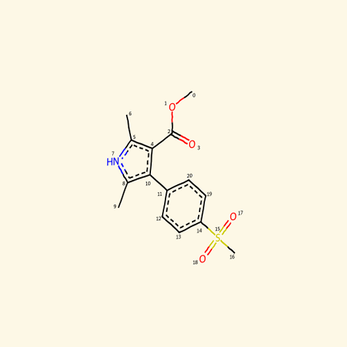 COC(=O)c1c(C)[nH]c(C)c1-c1ccc(S(C)(=O)=O)cc1